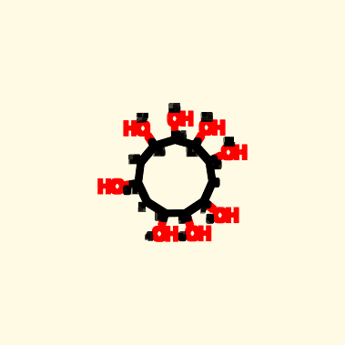 OC1CC(O)C(O)C(O)CC(O)C(O)C(O)C(O)C1